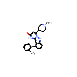 O=C(O)N1CCC(c2cc(=O)[nH]c3c4c(-c5ccccc5C(F)(F)F)cccc4nn23)CC1